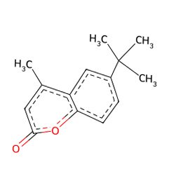 Cc1cc(=O)oc2ccc(C(C)(C)C)cc12